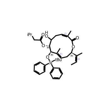 C/C=C(/C)[C@H]1C/C=C(\C)[C@@H](O[Si](c2ccccc2)(c2ccccc2)C(C)(C)C)[C@H](OC(=O)CC(C)C)C(O)C/C=C(/C)C(=O)O1